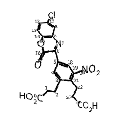 O=C(O)CCc1cc(-c2nc3cc(Cl)ccc3oc2=O)cc([N+](=O)[O-])c1CCC(=O)O